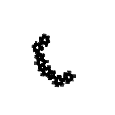 c1ccc(-c2cccc(-c3nc4cc5c(cc4s3)sc3cc4sc(-c6cccc(-c7ccccn7)n6)nc4cc35)n2)nc1